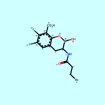 CC(=O)CCC(=O)NC1Cc2cc(F)c(F)c(C(=O)O)c2OB1O